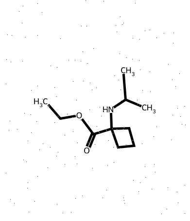 CCOC(=O)C1(NC(C)C)CCC1